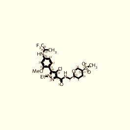 CCn1nc(C(=O)NC[C@@H]2CC[C@H](S(C)(=O)=O)CO2)c(Cl)c1-c1ccc(N[C@H](C)C(F)(F)F)cc1OC